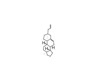 C=CCC1CC[C@@]2(C)C(=CC[C@H]3[C@@H]4CCC[C@@]4(C)CC[C@@H]32)C1